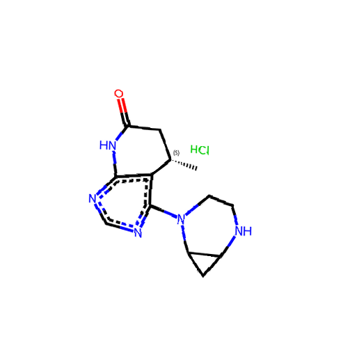 C[C@H]1CC(=O)Nc2ncnc(N3CCNC4CC43)c21.Cl